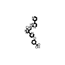 Cn1nnc(-c2ccc(O[C@H]3CCC[C@H](C(=O)O)C3)cn2)c1CNc1nccc(-c2cccnc2)n1